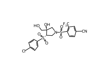 N#Cc1ccc(S(=O)(=O)N2C[C@H](S(=O)(=O)c3ccc(Cl)cc3)[C@](O)(CO)C2)c(C(F)(F)F)c1